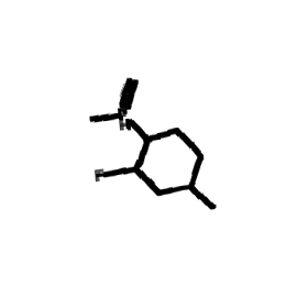 C=[PH](C)C1CCC(C)CC1F